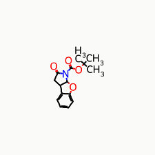 CC(C)(C)OC(=O)N1C(=O)CC2c3ccccc3OC21